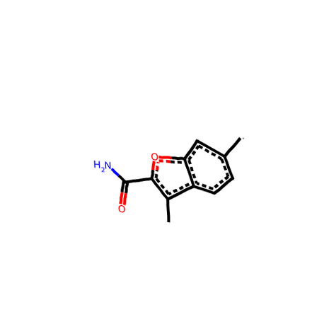 [CH2]c1ccc2c(C)c(C(N)=O)oc2c1